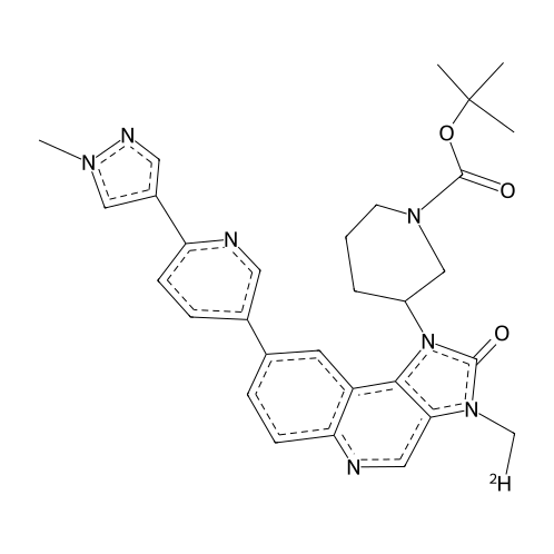 [2H]Cn1c(=O)n(C2CCCN(C(=O)OC(C)(C)C)C2)c2c3cc(-c4ccc(-c5cnn(C)c5)nc4)ccc3ncc21